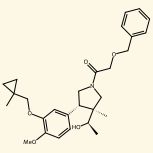 COc1ccc([C@@H]2CN(C(=O)COCc3ccccc3)C[C@@]2(C)[C@@H](C)O)cc1OCC1(C)CC1